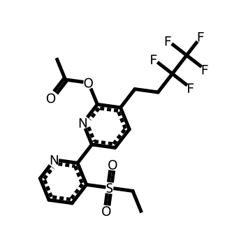 CCS(=O)(=O)c1cccnc1-c1ccc(CCC(F)(F)C(F)(F)F)c(OC(C)=O)n1